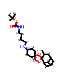 CC1CC2CC3CC(C23)C12OOC1(CCC(NCCCCNC(=O)OC(C)(C)C)CC1)O2